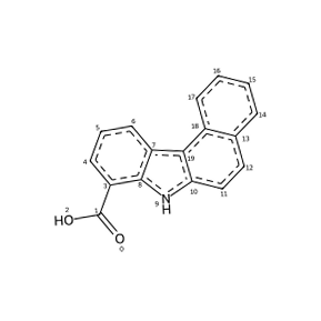 O=C(O)c1cccc2c1[nH]c1ccc3ccccc3c12